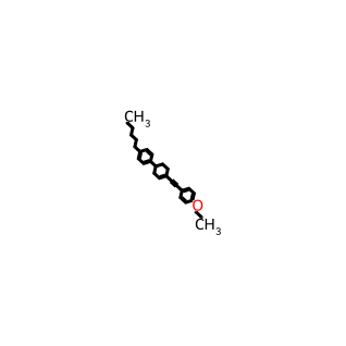 CCCCCCc1ccc(C2CC=C(C#Cc3ccc(OCCC)cc3)CC2)cc1